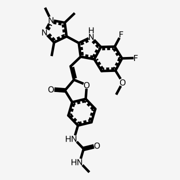 CNC(=O)Nc1ccc2c(c1)C(=O)/C(=C/c1c(-c3c(C)nn(C)c3C)[nH]c3c(F)c(F)c(OC)cc13)O2